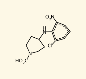 O=C(O)N1CCC(Nc2c(Cl)cccc2[N+](=O)[O-])CC1